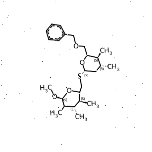 CO[C@H]1OC(CS[C@H]2C[C@@H](C)[C@H](C)C(COCc3ccccc3)O2)[C@@H](C)[C@H](C)C1C